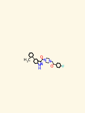 Cc1ccccc1-c1ccc2[nH]nc(C(=O)N3CCN(CC(=O)c4ccc(F)cc4)CC3)c2c1